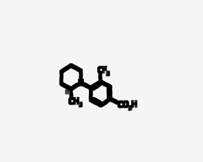 C[C@H]1CCCCN1c1ccc(C(=O)O)cc1C(F)(F)F